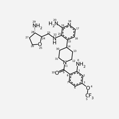 Nc1cc(OC(F)(F)F)ccc1C(=O)N1CCC(c2ccnc(N)c2NCC2OCC[C@@H]2N)CC1